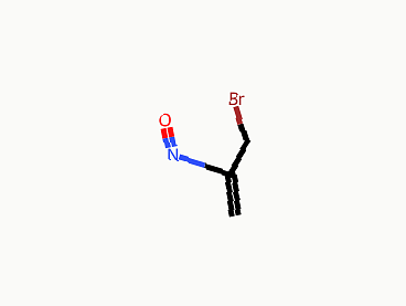 C=C(CBr)N=O